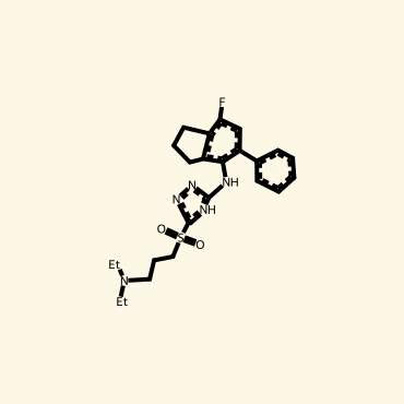 CCN(CC)CCCS(=O)(=O)c1nnc(Nc2c(-c3ccccc3)cc(F)c3c2CCC3)[nH]1